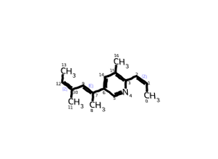 C/C=C\c1ncc(/C(C)=C/C(C)=C\C)cc1C